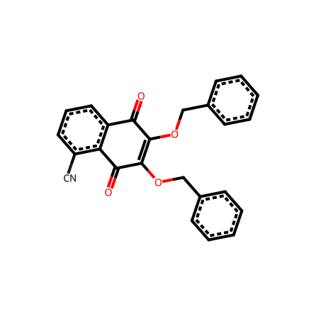 N#Cc1cccc2c1C(=O)C(OCc1ccccc1)=C(OCc1ccccc1)C2=O